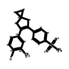 NS(=O)(=O)c1ccc(C2=C(c3ccc(F)c(C(F)(F)F)c3)CC3(CC3)C2)cc1